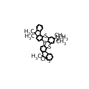 CC1(C)c2ccccc2-c2c1ccc1c2Sc2cc([Si](C)(C)C)cc3c2B1c1ccc2c(c1S3)-c1ccccc1C2(C)C